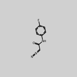 [N-]=[N+]=CC(=O)Nc1ccc(F)cc1